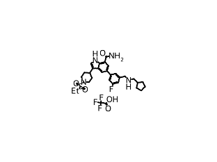 CCS(=O)(=O)N1CCC(c2c[nH]c3c(C(N)=O)cc(-c4cc(F)cc(CNCC5CCCC5)c4)cc23)CC1.O=C(O)C(F)(F)F